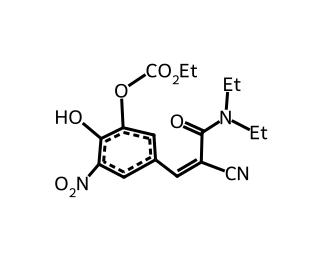 CCOC(=O)Oc1cc(/C=C(/C#N)C(=O)N(CC)CC)cc([N+](=O)[O-])c1O